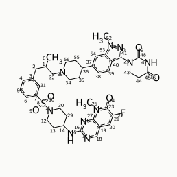 CC(Cc1cccc(S(=O)(=O)N2CCC(Nc3ncc4cc(F)c(=O)n(C)c4n3)CC2)c1)CN1CCC(c2ccc3c(N4CCC(=O)NC4=O)nn(C)c3c2)CC1